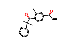 C=CC(=O)c1ccc(C(=O)C(C)(C)c2ccccc2)c(C)c1